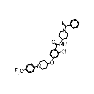 O=C(NC1CCN(C(I)c2ccccc2)CC1)c1ccc(OC2CCN(c3ccc(C(F)(F)F)cc3)CC2)cc1Cl